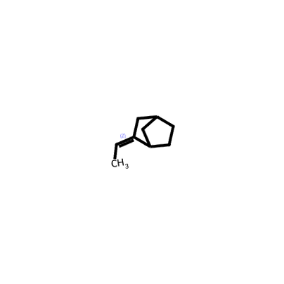 C/C=C1/CC2CCC1C2